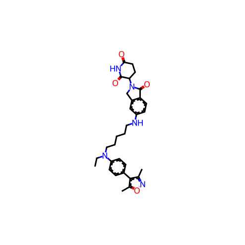 CCN(CCCCCNc1ccc2c(c1)CN(C1CCC(=O)NC1=O)C2=O)c1ccc(-c2c(C)noc2C)cc1